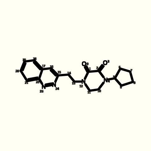 O=C1C(=O)N(C2CCCC2)CCN1CCc1cc2ccccc2nn1